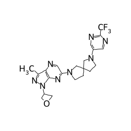 Cc1nn(C2COC2)c2nc(N3CCC4(CCN(c5cnc(C(F)(F)F)nc5)C4)C3)cnc12